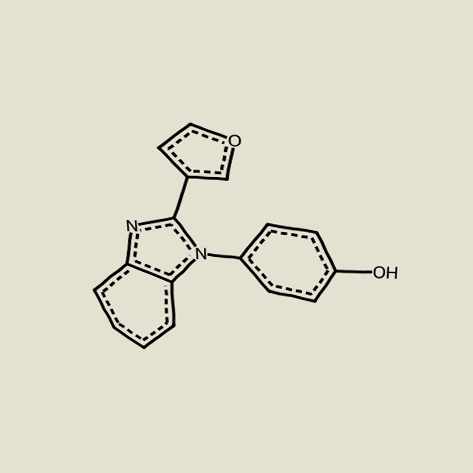 Oc1ccc(-n2c(-c3ccoc3)nc3ccccc32)cc1